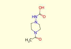 CC(=O)N1CCN(NC(=O)O)CC1